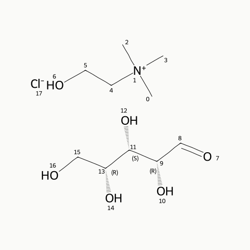 C[N+](C)(C)CCO.O=C[C@H](O)[C@@H](O)[C@H](O)CO.[Cl-]